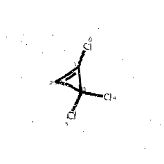 ClC1=[C]C1(Cl)Cl